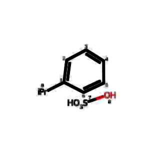 CC(C)c1ccccc1.O=S(=O)(O)O